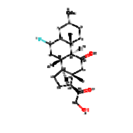 CC(=O)OC1CC[C@@]2(C)C(C1)C(F)C[C@H]1[C@@H]3CC[C@H](C(=O)CO)[C@@]3(C)CC(=O)[C@@H]12